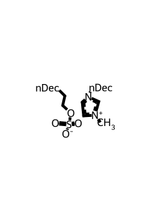 CCCCCCCCCCCCOS(=O)(=O)[O-].CCCCCCCCCCn1cc[n+](C)c1